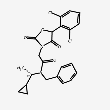 C[C@@H](C1CC1)N(Cc1ccccc1)C(=O)CN1C(=O)OC(c2c(Cl)cccc2Cl)C1=O